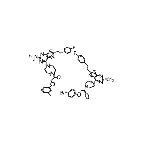 Cc1cccc(OCC(=O)N2CCN(c3nc(N)nc4sc(CCc5ccc(F)cc5)nc34)CC2)c1.Nc1nc(N2CCN(C(=O)COc3ccc(Br)cc3)CC2)c2nc(CCc3ccc(F)cc3)sc2n1